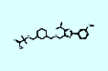 COc1cccc(-c2nc(COCC3CCCC(COC(C)(C)C(=O)O)C3)c(C(C)C)o2)c1